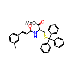 COC(=O)[C@@H](CSC(c1ccccc1)(c1ccccc1)c1ccccc1)NC(=O)/C=C/c1cccc(C)c1